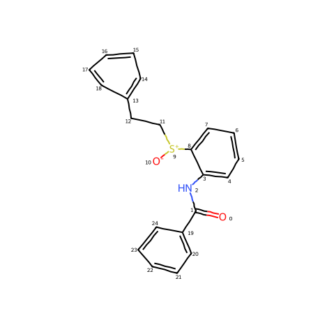 O=C(Nc1ccccc1[S+]([O-])CCc1ccccc1)c1ccccc1